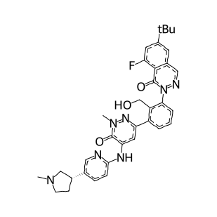 CN1CC[C@@H](c2ccc(Nc3cc(-c4cccc(-n5ncc6cc(C(C)(C)C)cc(F)c6c5=O)c4CO)nn(C)c3=O)nc2)C1